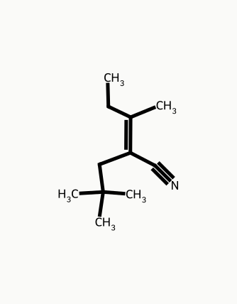 CC/C(C)=C(/C#N)CC(C)(C)C